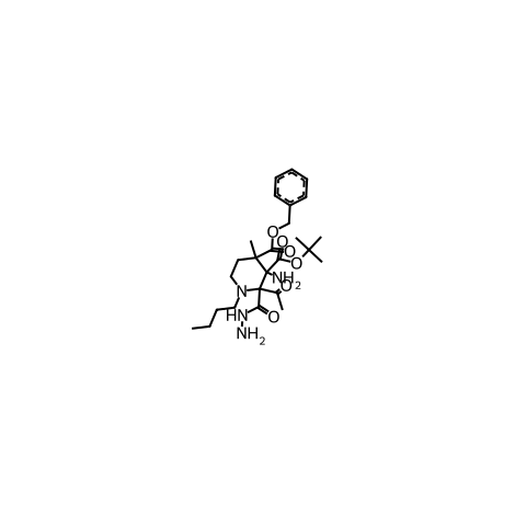 CCCCN1CCC(C)(C(=O)OCc2ccccc2)C(N)(C(=O)OC(C)(C)C)C1(C(C)=O)C(=O)NN